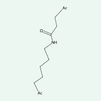 CC(=O)CCCCCNC(=O)CCC(C)=O